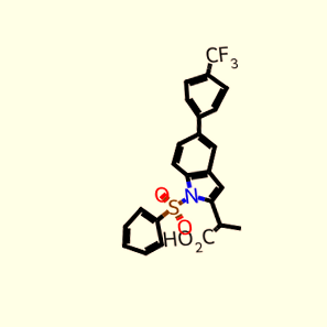 CC(C(=O)O)c1cc2cc(-c3ccc(C(F)(F)F)cc3)ccc2n1S(=O)(=O)c1ccccc1